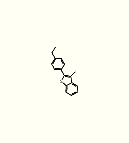 CCc1ccc(-c2sc3ccccc3c2I)cc1